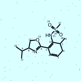 CC1CC=CC(C2=NC(C(C)C)CO2)=C1NS(C)(=O)=O